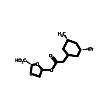 CC(C)[C@@H]1CC(CC(=O)OC2CS[C@H](C(=O)O)O2)C[C@H](C)C1